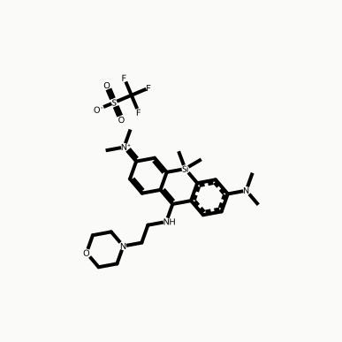 CN(C)c1ccc2c(c1)[Si](C)(C)C1=CC(=[N+](C)C)C=CC1=C2NCCN1CCOCC1.O=S(=O)([O-])C(F)(F)F